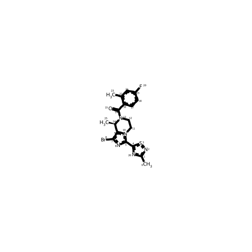 Cc1nsc(-c2nc(Br)c3n2CCN(C(=O)c2ccc(F)cc2C)[C@@H]3C)n1